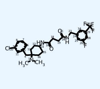 CN(C)C1(Cc2cccc(Cl)c2)CCC(NC(=O)CCC(=O)NCc2cc(F)cc(C(F)(F)F)c2)CC1